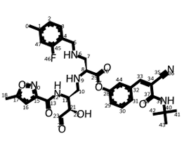 Cc1ccc(CNC[C@H](NC[C@H](NC(=O)c2cc(C)on2)[C@@H](O)C=O)C(=O)Oc2cccc(C=C(C#N)C(=O)NC(C)(C)C)c2)c(F)c1